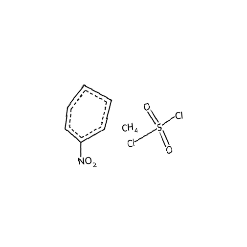 C.O=S(=O)(Cl)Cl.O=[N+]([O-])c1ccccc1